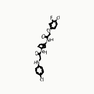 O=C(COc1ccc(Cl)c(F)c1)NC1CC2(NC(=O)CNc3ccc(Cl)cc3)CC1C2